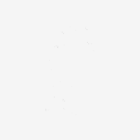 CCc1cc(C2CCN(C(=O)C(C)O)CC2)ccc1N(C)c1cc2c(cn1)ncn2C